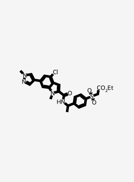 CCOC(=O)CS(=O)(=O)c1ccc(C(C)NC(=O)c2cc3c(Cl)cc(-c4cnn(C)c4)cc3n2C)cc1